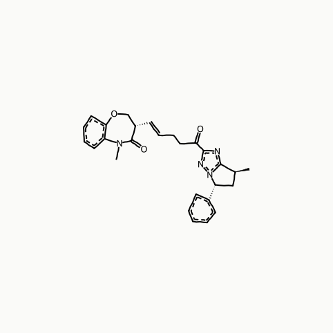 C[C@H]1C[C@H](c2ccccc2)n2nc(C(=O)CC/C=C/[C@H]3COc4ccccc4N(C)C3=O)nc21